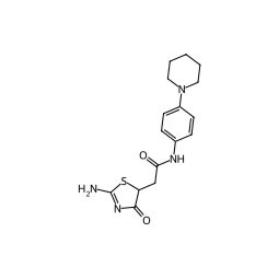 NC1=NC(=O)C(CC(=O)Nc2ccc(N3CCCCC3)cc2)S1